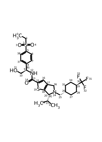 CCS(=O)(=O)c1ccc([C@H](CO)NC(=O)c2cc3c(s2)[C@@H](C(C)C)N(C[C@H]2CC[C@H](C(F)(F)F)CC2)C3)cc1